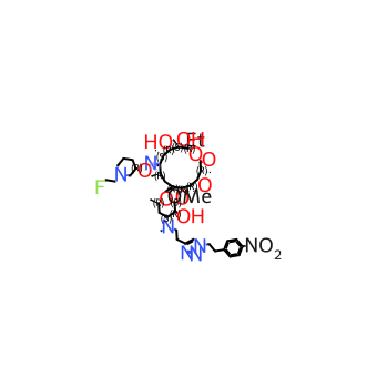 CC[C@H]1OC(=O)[C@H](C)C(=O)[C@H](C)[C@@H](O[C@@H]2O[C@H](C)C[C@H](N(C)CCc3cn(CCc4ccc([N+](=O)[O-])cc4)nn3)[C@H]2O)[C@](C)(OC)C[C@@H](C)/C(=N\O[C@@H]2CCCN(CCF)C2)[C@H](C)[C@@H](O)[C@]1(C)O